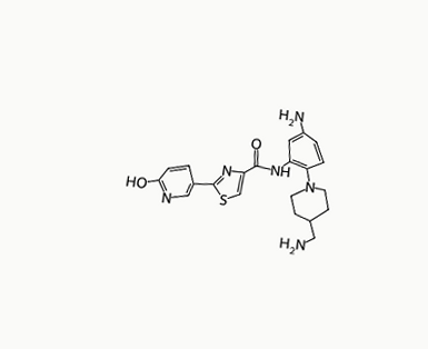 NCC1CCN(c2ccc(N)cc2NC(=O)c2csc(-c3ccc(O)nc3)n2)CC1